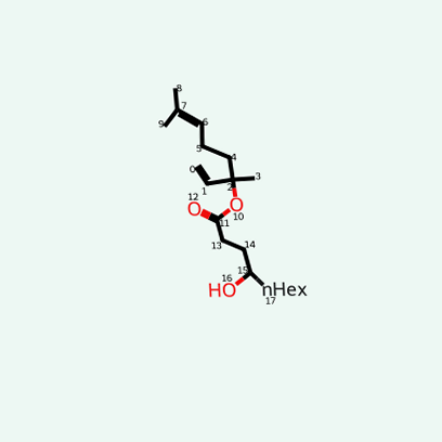 C=CC(C)(CCC=C(C)C)OC(=O)CCC(O)CCCCCC